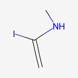 C=C(I)NC